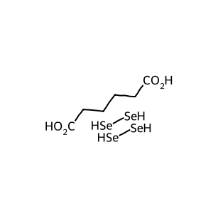 O=C(O)CCCCC(=O)O.[SeH][SeH].[SeH][SeH]